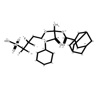 CC(OCCC(F)(F)C(F)(F)S(=O)(=O)O)(OC(=O)C12CC3CC(CC(C3)C1)C2)C(=O)OC1CCCCC1